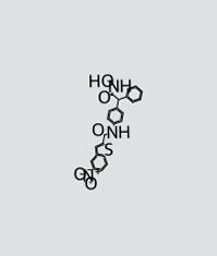 O=C(Nc1ccc(C(C(=O)NO)c2ccccc2)cc1)c1cc2cc([N+](=O)[O-])ccc2s1